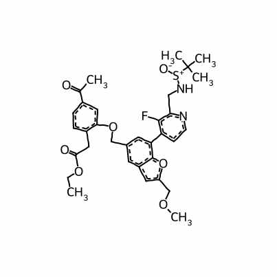 CCOC(=O)Cc1ccc(C(C)=O)cc1OCc1cc(-c2ccnc(CN[S+]([O-])C(C)(C)C)c2F)c2oc(COC)cc2c1